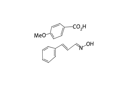 COc1ccc(C(=O)O)cc1.ON=CC=Cc1ccccc1